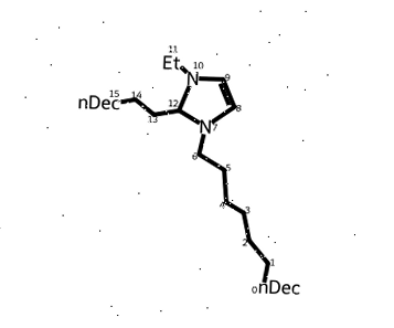 CCCCCCCCCCCCCCCCN1C=CN(CC)C1CCCCCCCCCCCC